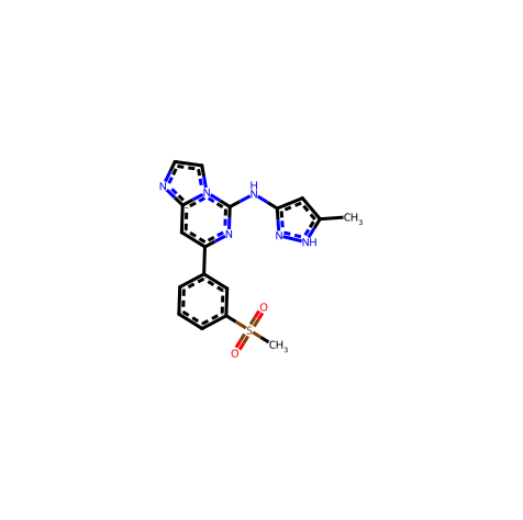 Cc1cc(Nc2nc(-c3cccc(S(C)(=O)=O)c3)cc3nccn23)n[nH]1